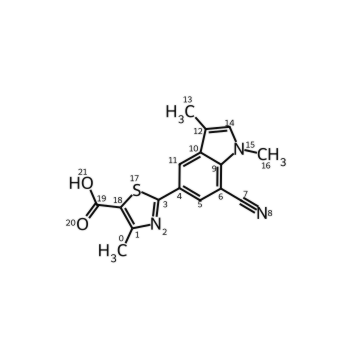 Cc1nc(-c2cc(C#N)c3c(c2)c(C)cn3C)sc1C(=O)O